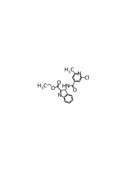 CCOC(=O)C1=Nc2ccccc2C1NC(=O)c1cc(C)nc(Cl)c1